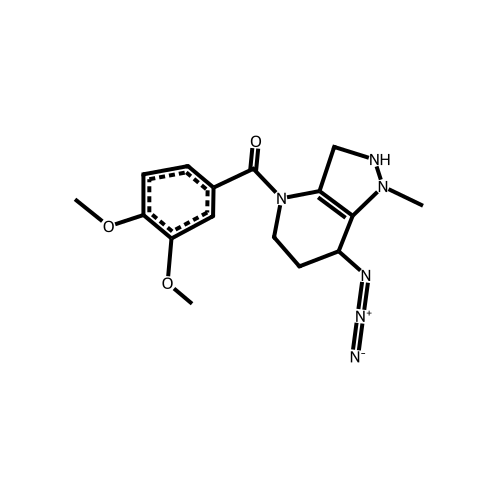 COc1ccc(C(=O)N2CCC(N=[N+]=[N-])C3=C2CNN3C)cc1OC